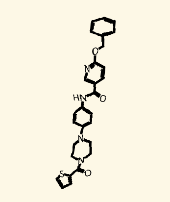 O=C(Nc1ccc(N2CCN(C(=O)c3cccs3)CC2)cc1)c1ccc(OCc2ccccc2)nc1